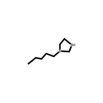 CCCCCB1CBCC1